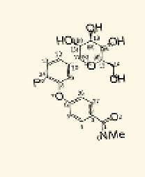 CNC(=O)c1ccc(Oc2cc([C@H]3O[C@H](CO)[C@@H](O)[C@H](O)[C@@H]3O)ccc2F)cc1